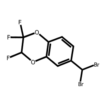 FC1Oc2cc(C(Br)Br)ccc2OC1(F)F